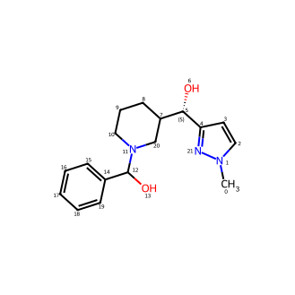 Cn1ccc([C@@H](O)C2CCCN(C(O)c3ccccc3)C2)n1